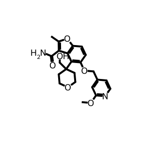 COc1cc(COc2ccc3oc(C)c(C(N)=O)c3c2C2(CO)CCOCC2)ccn1